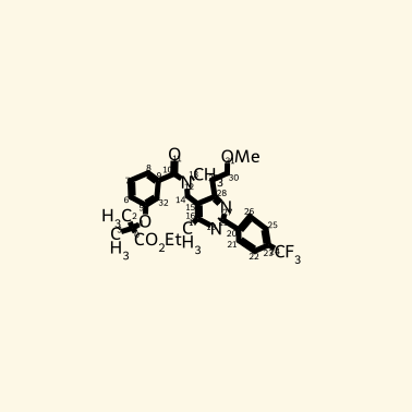 CCOC(=O)C(C)(C)Oc1cccc(C(=O)N(C)Cc2c(C)nc(-c3ccc(C(F)(F)F)cc3)nc2CCOC)c1